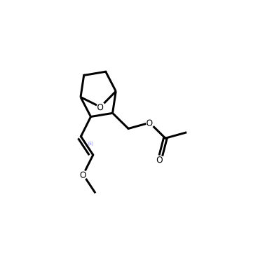 CO/C=C/C1C2CCC(O2)C1COC(C)=O